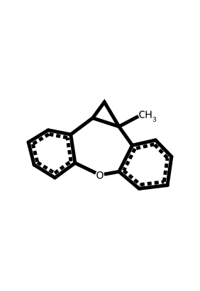 CC12CC1c1ccccc1Oc1ccccc12